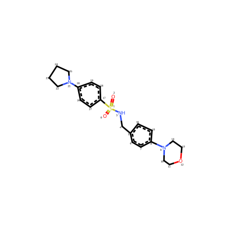 O=S(=O)(NCc1ccc(N2CCOCC2)cc1)c1ccc(N2CCCC2)cc1